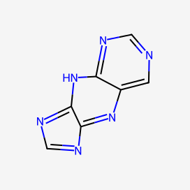 c1nc2nc3cncnc3[nH]c-2n1